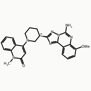 COc1cccc2c1nc(N)n1nc([C@@H]3CCCN(c4cc(=O)n(C)c5ccccc45)C3)nc21